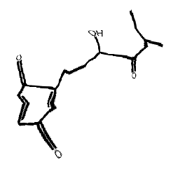 CC(C)C(=O)C(O)CCC1=CC(=O)C=CC1=O